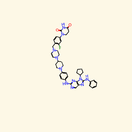 O=C1CCN(c2ccc(CN3CCN(C4CCN(c5ccc(Nc6ncc7nc(Nc8ccccc8)n(C8CCCC8)c7n6)cc5)CC4)CC3)c(F)c2)C(=O)N1